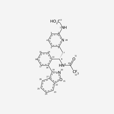 O=C(O)Nc1cccc(C[C@H](NC(=O)C(F)(F)F)c2ccccc2-c2noc3ccccc23)n1